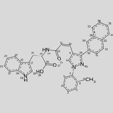 Cc1ccccc1-n1cc(/C=C\C(=O)N[C@@H](Cc2c[nH]c3ccccc23)C(=O)O)c(-c2ccc3ccccc3c2)n1